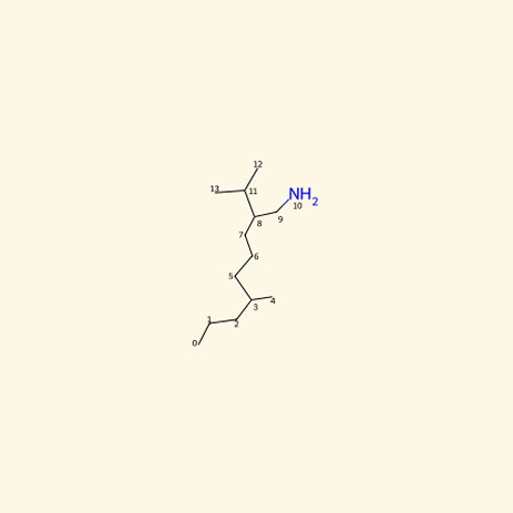 CCCC(C)CCCC(CN)C(C)C